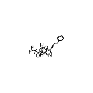 CC(C)(C(=O)N1C[C@@H]2C[C@H]1c1cncc(C#CCCc3ccccc3)c1O2)C(F)F